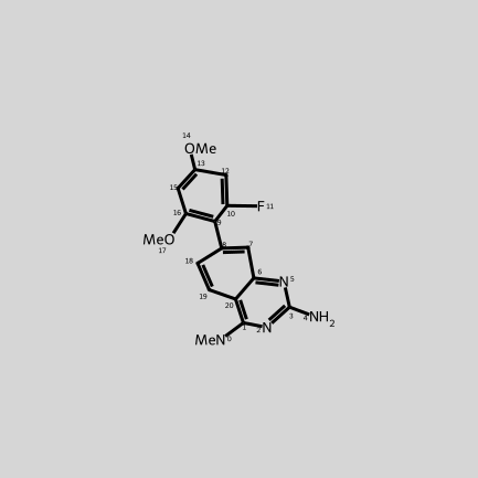 CNc1nc(N)nc2cc(-c3c(F)cc(OC)cc3OC)ccc12